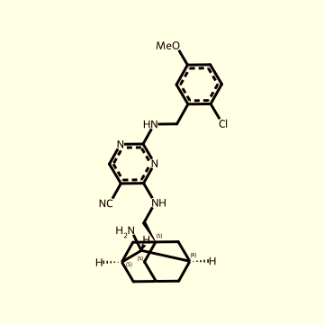 COc1ccc(Cl)c(CNc2ncc(C#N)c(NC[C@]34CC5C[C@H](C3)[C@@H](N)[C@@H](C5)C4)n2)c1